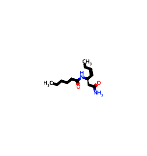 CC/C=C\[C@@H](CC(N)=O)NC(=O)CCCCC